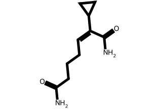 NC(=O)CCCC=C(C(N)=O)C1CC1